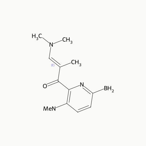 Bc1ccc(NC)c(C(=O)/C(C)=C/N(C)C)n1